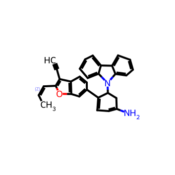 C#Cc1c(/C=C\C)oc2cc(C3=CC=C(N)CC3n3c4ccccc4c4ccccc43)ccc12